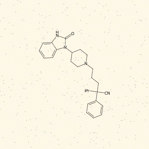 CC(C)C(C#N)(CCCN1CCC(n2c(=O)[nH]c3ccccc32)CC1)c1ccccc1